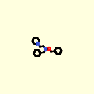 c1ccc(CON(CCN2CCCCC2)Cc2ccccc2)cc1